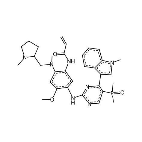 C=CC(=O)Nc1cc(Nc2ncc(P(C)(C)=O)c(-c3cn(C)c4ccccc34)n2)c(OC)cc1N(C)CC1CCCN1C